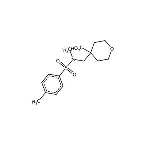 Cc1ccc(S(=O)(=O)N(C)CC2(C(=O)O)CCOCC2)cc1